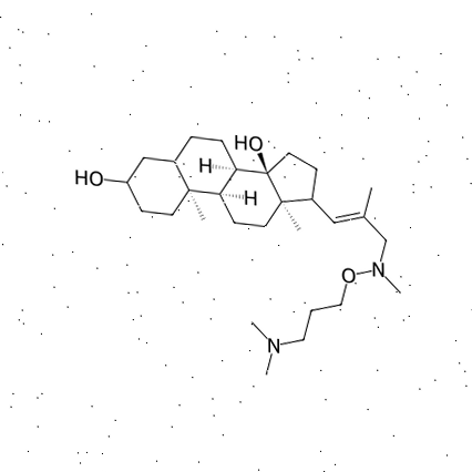 C/C(=C\C1CC[C@@]2(O)[C@@H]3CCC4CC(O)CC[C@]4(C)[C@@H]3CC[C@]12C)CN(C)OCCCN(C)C